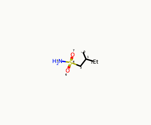 [CH2]C(CC)CS(N)(=O)=O